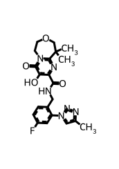 Cc1cn(-c2cc(F)ccc2CNC(=O)c2nc3n(c(=O)c2O)CCOCC3(C)C)nn1